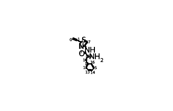 C#Cc1nc(NC(=O)[C@H](N)Cc2ccccc2)cs1